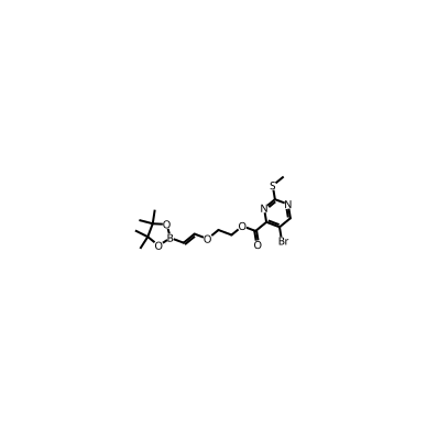 CSc1ncc(Br)c(C(=O)OCCO/C=C/B2OC(C)(C)C(C)(C)O2)n1